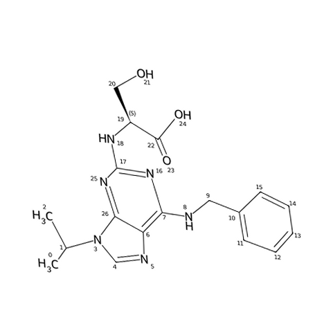 CC(C)n1cnc2c(NCc3ccccc3)nc(N[C@@H](CO)C(=O)O)nc21